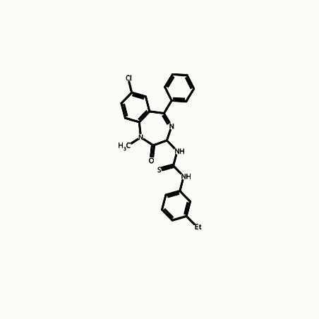 CCc1cccc(NC(=S)NC2N=C(c3ccccc3)c3cc(Cl)ccc3N(C)C2=O)c1